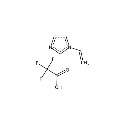 C=Cn1ccnc1.O=C(O)C(F)(F)F